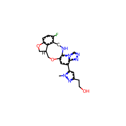 Cn1nc(CCO)cc1-c1cc2c(n3cnnc13)NCc1c(F)ccc3c1[C@H](CO3)CO2